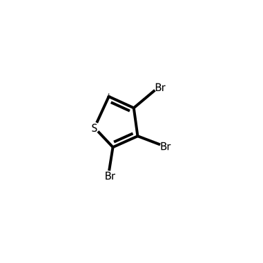 Brc1[c]sc(Br)c1Br